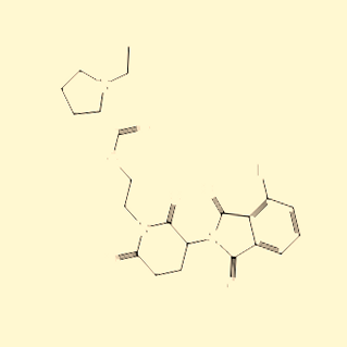 CCN1CCC[C@H]1C(=O)OCCN1C(=O)CCC(N2C(=O)c3cccc(F)c3C2=O)C1=O